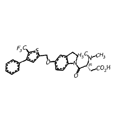 CN(C)[C@H](CC(=O)O)C(=O)N1CCc2cc(OCc3cc(-c4ccccc4)c(C(F)(F)F)s3)ccc21